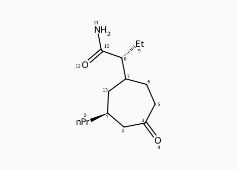 CCC[C@@H]1CC(=O)CCC([C@@H](CC)C(N)=O)C1